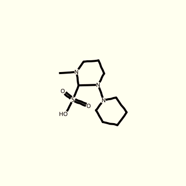 CN1CCCN(N2CCCCC2)C1S(=O)(=O)O